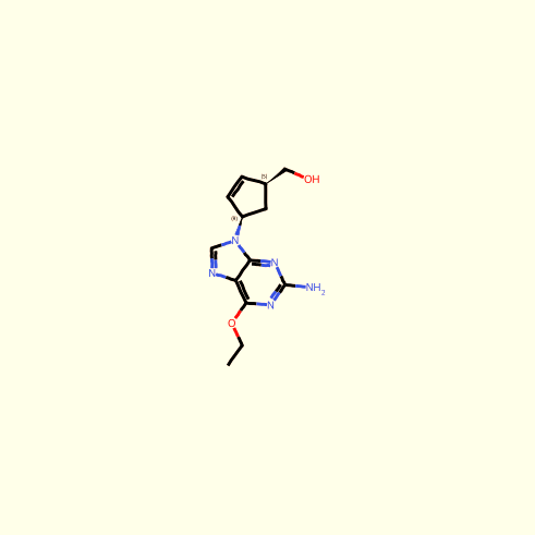 CCOc1nc(N)nc2c1ncn2[C@H]1C=C[C@@H](CO)C1